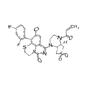 C=CC(=O)N1CCN(c2nc(=O)n3c4c(c(-c5ccc(F)cc5F)c(Cl)cc24)SCC3)C2CS(=O)(=O)C[C@@H]21